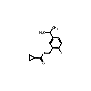 CC(C)c1ccc(F)c(COC(=O)C2CC2)c1